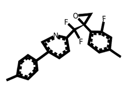 Cc1ccc(-c2ccc(C(F)(F)[C@]3(c4ccc(C)cc4F)CO3)nc2)cc1